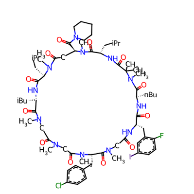 CCCC[C@@H]1NC(=O)[C@H](Cc2cc(I)ccc2F)NC(=O)CN(C)C(=O)[C@H](Cc2ccc(Cl)cc2)N(C)C(=O)CN(C)C(=O)CN(C)C(=O)[C@H]([C@@H](C)CC)NC(=O)[C@H](CC(C)C)N(C)C(=O)C[C@@H](C(=O)N2CCCCC2)N(C)C(=O)[C@H](CC(C)C)NC(=O)C(C)(C)N(C)C1=O